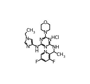 CCn1cnc(Nc2nc(NC(C)c3ncc(F)cc3F)nc(N3CCOCC3)n2)c1.Cl